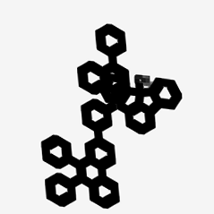 CC1(c2ccccc2)c2ccccc2-c2cccc(N(c3cccc(-c4ccc5c(c4)c(-c4ccccc4)c(-c4ccccc4)c4ccccc45)c3)c3ccc(-c4ccccc4)c4ccccc34)c21